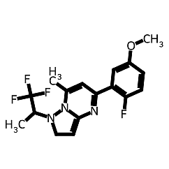 COc1ccc(F)c(C2=NC3=CCN(C(C)C(F)(F)F)N3C(C)=C2)c1